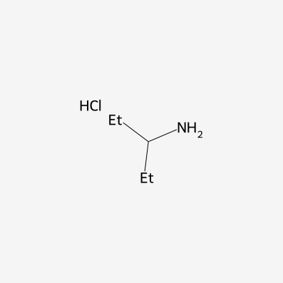 CCC(N)CC.Cl